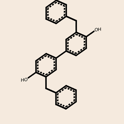 Oc1ccc(-c2ccc(O)c(Cc3ccccc3)c2)cc1Cc1ccccc1